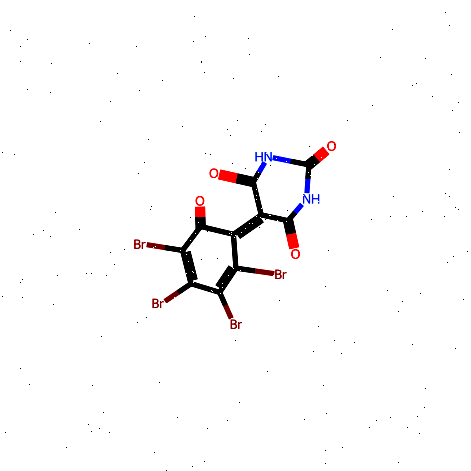 O=C1NC(=O)C(=C2C(=O)C(Br)=C(Br)C(Br)=C2Br)C(=O)N1